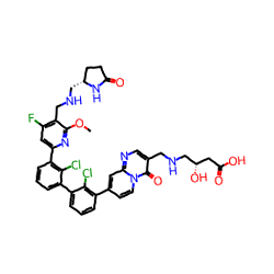 COc1nc(-c2cccc(-c3cccc(-c4ccn5c(=O)c(CNC[C@@H](O)CC(=O)O)cnc5c4)c3Cl)c2Cl)cc(F)c1CNC[C@@H]1CCC(=O)N1